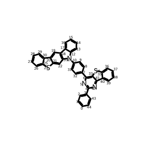 c1ccc(-c2nc(-c3ccc(-n4c5ccccc5c5cc6c(cc54)sc4ccccc46)cc3)c3sc4ccccc4c3n2)cc1